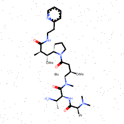 CC[C@H](C)[C@@H]([C@@H](CC(=O)N1CCC[C@H]1[C@H](OC)[C@@H](C)C(=O)NCCc1ccccn1)OC)N(C)C(=O)[C@@H](NC(=O)[C@H](C(C)C)N(C)C)[C@H](C)N